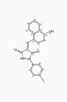 O=C1NN(c2ccc(I)cc2)C(=O)C1=Cc1ccc(O)c2ccccc12